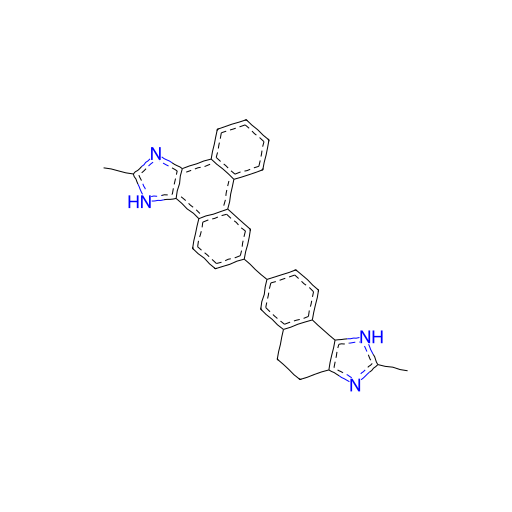 Cc1nc2c([nH]1)-c1ccc(-c3ccc4c(c3)c3ccccc3c3nc(C)[nH]c43)cc1CC2